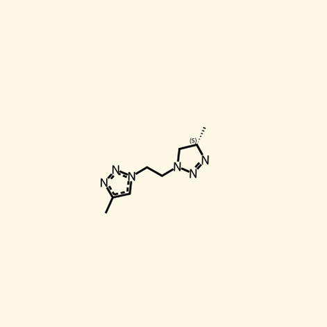 Cc1cn(CCN2C[C@H](C)N=N2)nn1